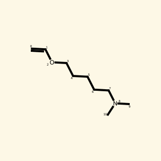 C=COCCCCCN(C)C